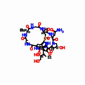 CCOc1ccc2c3c([nH]c2c1)[S+]([O-])C[C@@H]1NC(=O)CNC(=O)[C@H]([C@@H](C)CC)NC(=O)CNC(=O)C(C3)NC(=O)[C@H]([C@@H](C)[C@@H](O)CO)NC(=O)[C@@H]2C[C@@H](O)CN2C(=O)[C@H](CC(N)=O)NC1=O